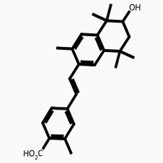 Cc1cc2c(cc1C=Cc1ccc(C(=O)O)c(C)c1)C(C)(C)CC(O)C2(C)C